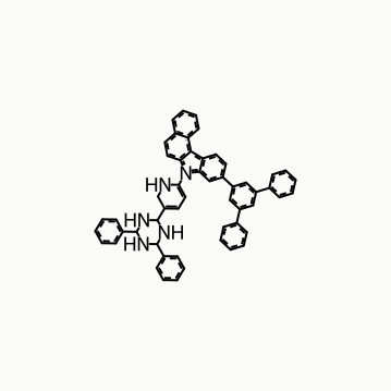 C1=C(C2NC(c3ccccc3)NC(c3ccccc3)N2)CNC(n2c3cc(-c4cc(-c5ccccc5)cc(-c5ccccc5)c4)ccc3c3c4ccccc4ccc32)=C1